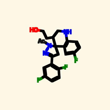 CC(=O)N1N=C(c2cc(F)ccc2F)CC12c1cc(F)ccc1NCC2CCO